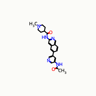 CC(=O)Nc1cncc(-c2ccc3cnc(NC(=O)C4CCN(C)CC4)cc3c2)c1